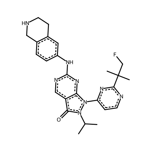 CC(C)n1c(=O)c2cnc(Nc3ccc4c(c3)CCNC4)nc2n1-c1ccnc(C(C)(C)CF)n1